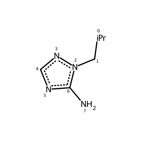 CC(C)Cn1ncnc1N